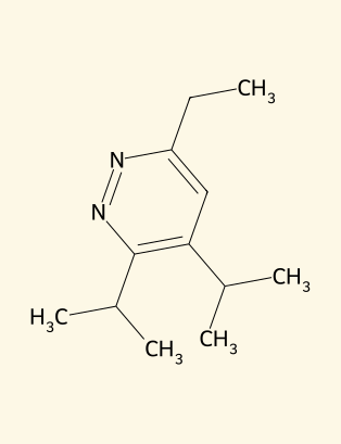 CCc1cc(C(C)C)c(C(C)C)nn1